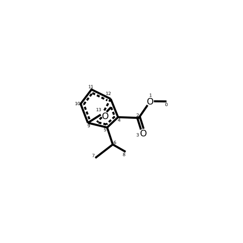 COC(=O)c1c(C(C)C)c2ccc1o2